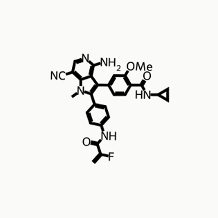 C=C(F)C(=O)Nc1ccc(-c2c(-c3ccc(C(=O)NC4CC4)c(OC)c3)c3c(N)ncc(C#N)c3n2C)cc1